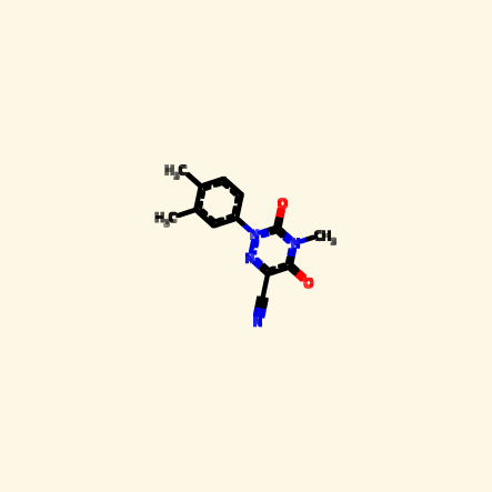 Cc1ccc(-n2nc(C#N)c(=O)n(C)c2=O)cc1C